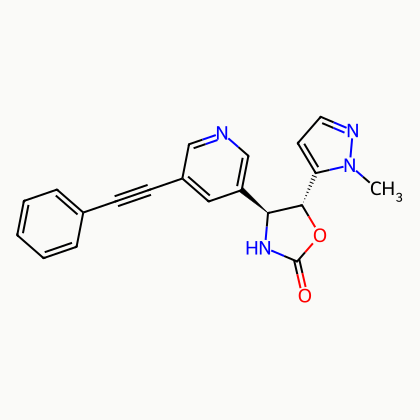 Cn1nccc1[C@@H]1OC(=O)N[C@H]1c1cncc(C#Cc2ccccc2)c1